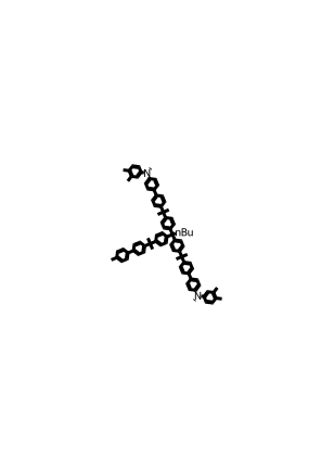 CCCCC(c1ccc(C(C)(C)c2ccc(-c3ccc(C)cc3)cc2)cc1)(c1ccc(C(C)(C)c2ccc(-c3ccc(N(C)c4ccc(C)c(C)c4)cc3)cc2)cc1)c1ccc(C(C)(C)c2ccc(-c3ccc(N(C)c4ccc(C)c(C)c4)cc3)cc2)cc1